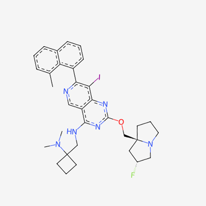 Cc1cccc2cccc(-c3ncc4c(NCC5(N(C)C)CCC5)nc(OC[C@@]56CCCN5C[C@H](F)C6)nc4c3I)c12